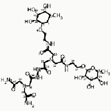 C[C@@H]1C[C@@H](OCCNC(=O)CN(CC(=O)NCCO[C@@H]2O[C@@H](C)[C@@H](O)[C@H](O)[C@@H]2O)CC(=O)NNC(=O)CN(CC(N)=O)CC(N)=O)[C@@H](O)[C@H](O)[C@@H]1O